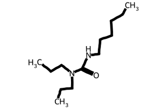 CCCCCCNC(=O)N(CCC)CCC